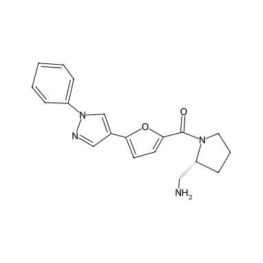 NC[C@H]1CCCN1C(=O)c1ccc(-c2cnn(-c3ccccc3)c2)o1